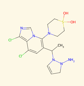 CC(c1cc(Cl)c2c(Cl)ncn2c1N1CCS(O)(O)CC1)N1C=CCN1N